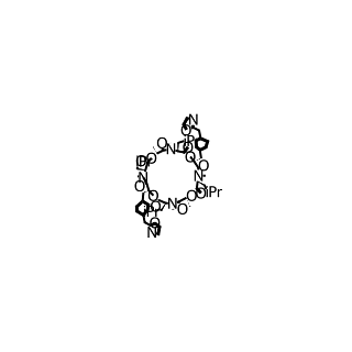 CC(C)C[C@H]1C(=O)O[C@H](Cc2ccc(Cc3ncco3)cc2)C(=O)N(C)[C@@H](CC(C)C)C(=O)O[C@H](C)C(=O)N(C)[C@@H](CC(C)C)C(=O)O[C@H](Cc2ccc(Cc3ncco3)cc2)C(=O)N(C)[C@@H](CC(C)C)C(=O)O[C@H](C)C(=O)N1C